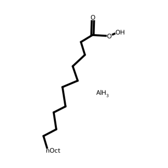 CCCCCCCCCCCCCCCCCC(=O)OO.[AlH3]